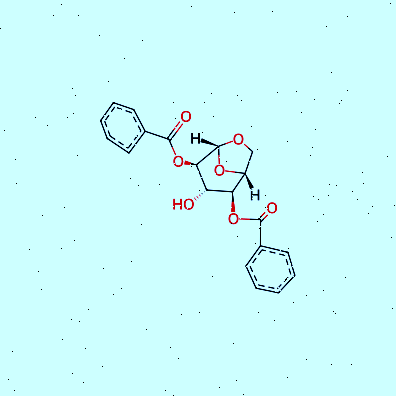 O=C(O[C@H]1[C@@H]2OC[C@@H](O2)[C@@H](OC(=O)c2ccccc2)[C@@H]1O)c1ccccc1